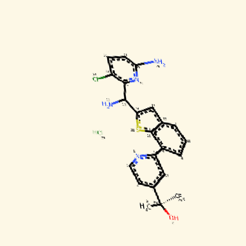 C[C@](O)(c1ccnc(-c2cccc3cc(C(N)c4nc(N)ccc4Cl)sc23)c1)C(F)(F)F.Cl